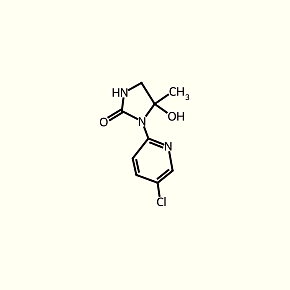 CC1(O)CNC(=O)N1c1ccc(Cl)cn1